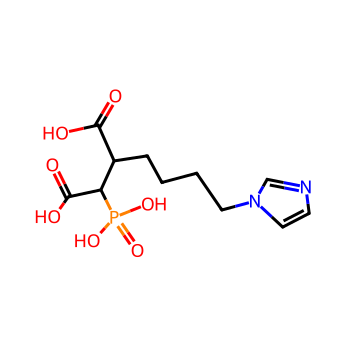 O=C(O)C(CCCCn1ccnc1)C(C(=O)O)P(=O)(O)O